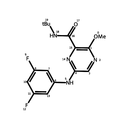 COc1ncc(Nc2cc(F)cc(F)c2)nc1C(=O)NC(C)(C)C